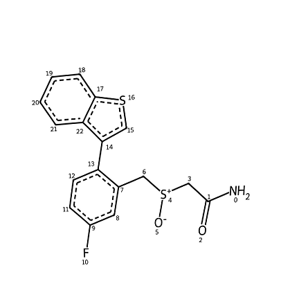 NC(=O)C[S+]([O-])Cc1cc(F)ccc1-c1csc2ccccc12